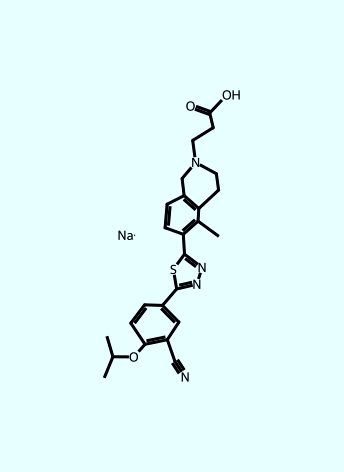 Cc1c(-c2nnc(-c3ccc(OC(C)C)c(C#N)c3)s2)ccc2c1CCN(CCC(=O)O)C2.[Na]